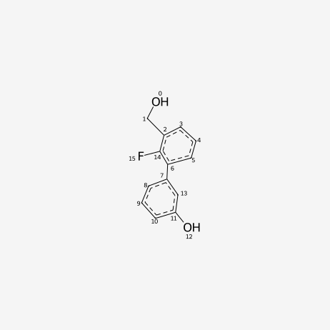 OCc1cccc(-c2cccc(O)c2)c1F